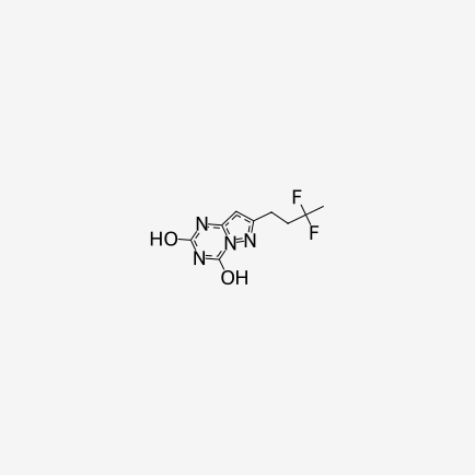 CC(F)(F)CCc1cc2nc(O)nc(O)n2n1